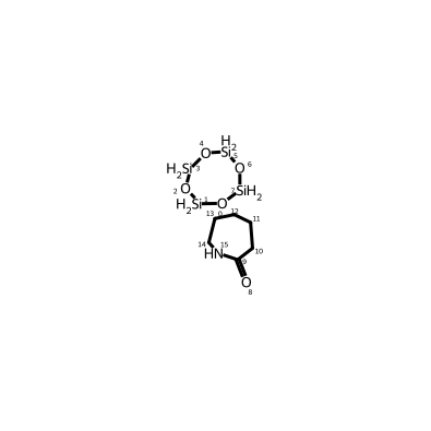 O1[SiH2]O[SiH2]O[SiH2]O[SiH2]1.O=C1CCCCCN1